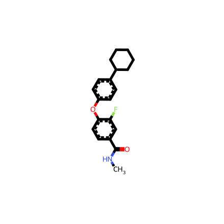 CNC(=O)c1ccc(Oc2ccc(C3CCCCC3)cc2)c(F)c1